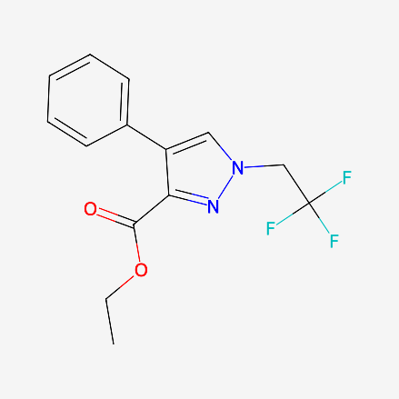 CCOC(=O)c1nn(CC(F)(F)F)cc1-c1ccccc1